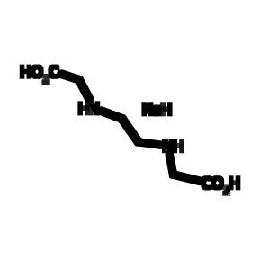 O=C(O)CNCCNCC(=O)O.[NaH]